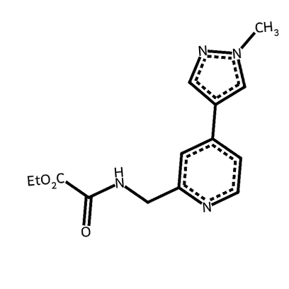 CCOC(=O)C(=O)NCc1cc(-c2cnn(C)c2)ccn1